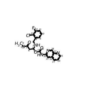 C[N]C(=O)CC(NCc1cccc(F)c1Cl)OC(=O)Nc1cc2cccnc2cn1